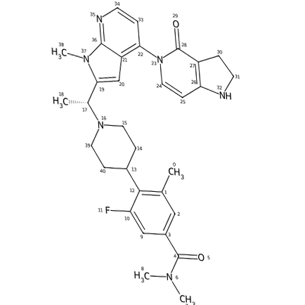 Cc1cc(C(=O)N(C)C)cc(F)c1C1CCN([C@H](C)c2cc3c(-n4ccc5c(c4=O)CCN5)ccnc3n2C)CC1